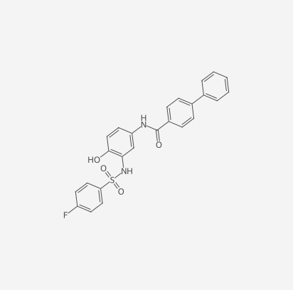 O=C(Nc1ccc(O)c(NS(=O)(=O)c2ccc(F)cc2)c1)c1ccc(-c2ccccc2)cc1